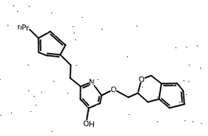 CCCc1ccc(CCc2cc(O)cc(OCC3Cc4ccccc4CO3)n2)cc1